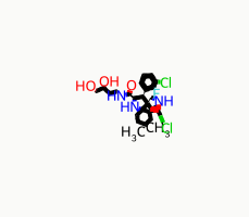 CC1(C)CCC2(CC1)N[C@@H](C(=O)NCC[C@H](O)CO)[C@H](c1cccc(Cl)c1F)[C@]21CNc2cc(Cl)ccc21